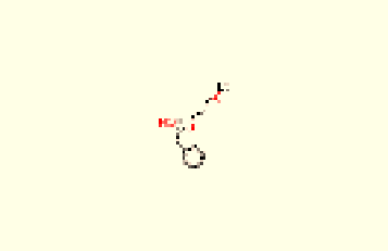 CCOCCCO[SiH](O)Cc1ccccc1